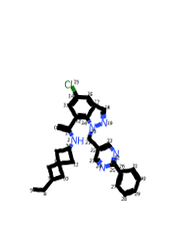 C=C(NC1CC2(CC(CC)C2)C1)c1cc(Cl)cc2cnn(Cc3cnc(-c4ccccc4)nc3)c12